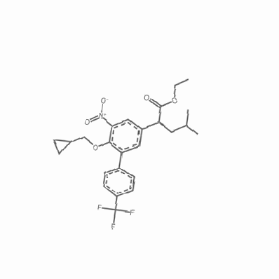 CCOC(=O)C(CC(C)C)c1cc(-c2ccc(C(F)(F)F)cc2)c(OCC2CC2)c([N+](=O)[O-])c1